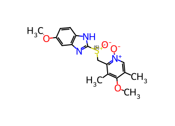 COc1ccc2[nH]c([S@+]([O-])Cc3c(C)c(OC)c(C)c[n+]3[O-])nc2c1